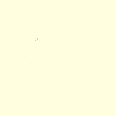 C[Si]1(C)C=Cc2c1ccc1c2C=C[Si]1(C)C